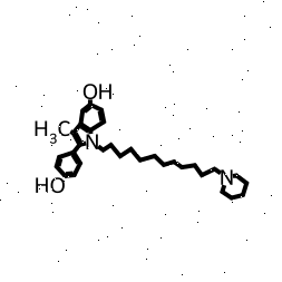 Cc1c(-c2ccc(O)cc2)n(CCCCCCCCCCCCN2CCCCC2)c2ccc(O)cc12